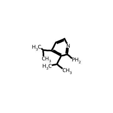 CC(C)c1ccnc(P)c1C(C)C